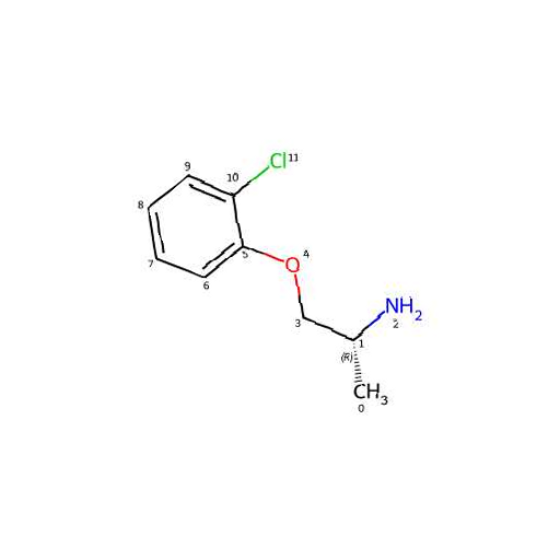 C[C@@H](N)COc1ccccc1Cl